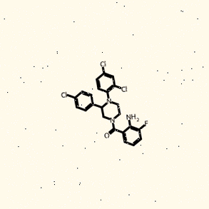 Nc1c(F)cccc1C(=O)N1CCN(c2ccc(Cl)cc2Cl)C(c2ccc(Cl)cc2)C1